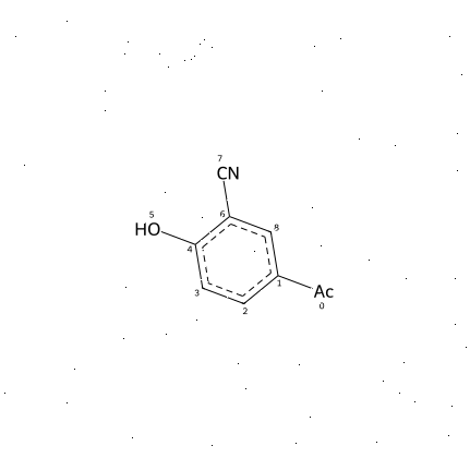 CC(=O)c1ccc(O)c(C#N)c1